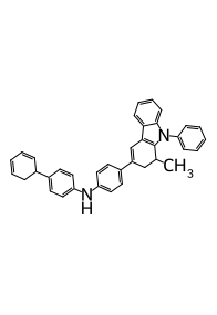 CC1CC(c2ccc(Nc3ccc(C4C=CC=CC4)cc3)cc2)=Cc2c1n(-c1ccccc1)c1ccccc21